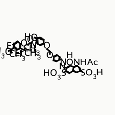 CCC(C)(C)c1ccc(OCC(=O)Nc2cc(OCCOc3ccc(N=Nc4c(S(=O)(=O)O)cc5cc(S(=O)(=O)O)cc(NC(C)=O)c5c4O)cc3)ccc2O)c(C(C)(C)CC)c1